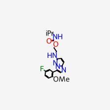 COc1ccc(F)cc1-c1cnc2ccc(NCCOC(=O)NC(C)C)nn12